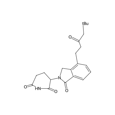 CC(C)(C)CC(=O)CCc1cccc2c1CN(C1CCC(=O)NC1=O)C2=O